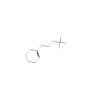 CC(=O)C(C)(C)CCCC1=CCCCC1